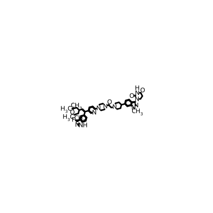 Cn1nc(N2CCC(=O)NC2=O)c2ccc(C3CCN(CC(=O)N4CCN(c5ccc(C(=CC6CC(C)(C)OC(C)(C)C6)c6ccc7[nH]nc(F)c7c6)cn5)CC4)CC3)cc21